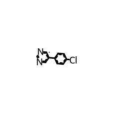 Clc1ccc(-c2[c]ncnc2)cc1